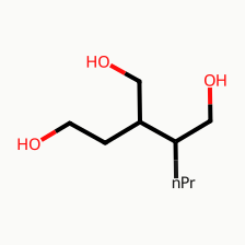 CCCC(CO)C(CO)CCO